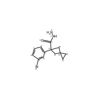 NNC(=O)C1(c2cccc(Br)c2)CC2(CC2)C1